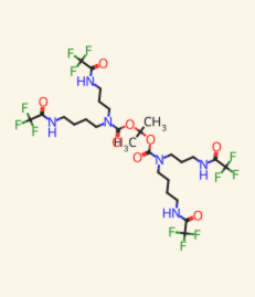 CC(C)(OC(=O)N(CCCCNC(=O)C(F)(F)F)CCCNC(=O)C(F)(F)F)OC(=O)N(CCCCNC(=O)C(F)(F)F)CCCNC(=O)C(F)(F)F